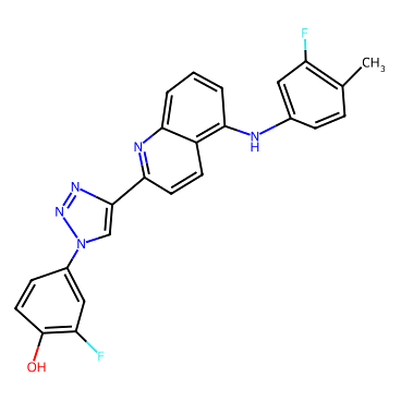 Cc1ccc(Nc2cccc3nc(-c4cn(-c5ccc(O)c(F)c5)nn4)ccc23)cc1F